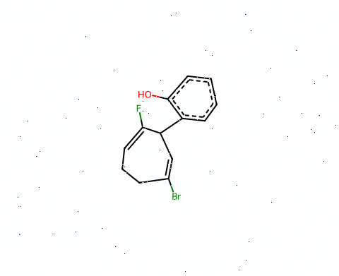 Oc1ccccc1C1C=C(Br)CCC=C1F